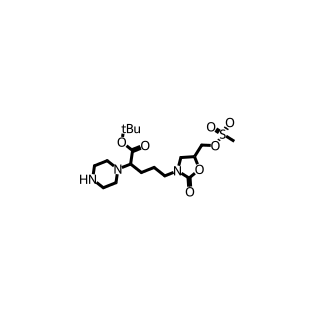 CC(C)(C)OC(=O)C(CCCN1CC(COS(C)(=O)=O)OC1=O)N1CCNCC1